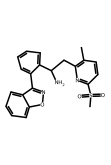 Cc1ccc(S(C)(=O)=O)nc1CC(N)c1ccccc1-c1noc2ccccc12